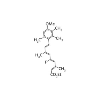 CCOC(=O)C=C(C)C=C(F)C=C(C)C=Cc1c(C)cc(OC)c(C)c1C